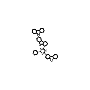 c1ccc(-c2nc(-c3ccc4oc5ccccc5c4c3)nc(-c3cccc4c3sc3ccc(-n5c6ccccc6c6ccccc65)cc34)n2)cc1